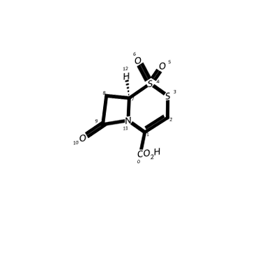 O=C(O)C1=CSS(=O)(=O)[C@@H]2CC(=O)N12